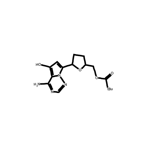 CC(C)(C)C(=O)OCC1CCC(c2cc(O)c3c(N)ncnn23)O1